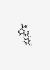 Cc1ncc([N+](=O)[O-])cc1N1Cc2cnc(Cl)nc2CC1=O